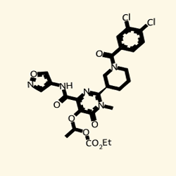 CCOC(=O)OC(C)Oc1c(C(=O)Nc2cnoc2)nc([C@@H]2CCCN(C(=O)c3ccc(Cl)c(Cl)c3)C2)n(C)c1=O